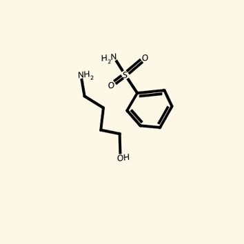 NCCCCO.NS(=O)(=O)c1ccccc1